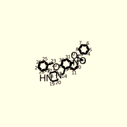 O=S(=O)(c1ccccc1)n1ccc2c(CN3CCNCC3)c(OCc3ccccc3)ccc21